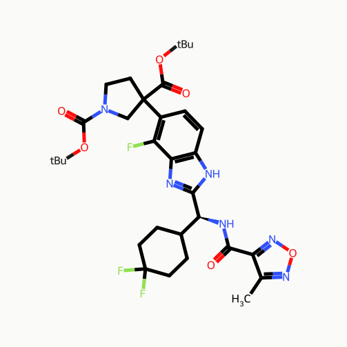 Cc1nonc1C(=O)N[C@H](c1nc2c(F)c(C3(C(=O)OC(C)(C)C)CCN(C(=O)OC(C)(C)C)C3)ccc2[nH]1)C1CCC(F)(F)CC1